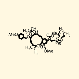 C=CCOP(=O)(OCC=C)OCCN(C(=O)OC(C)(C)C)c1cc2c(c(OCOC)c1)C(=O)O[C@@H](C)[C@H](C)/C=C\[C@@H](OCc1ccc(OC)cc1)[C@H]1OC(C)(C)O[C@H]1C/C=C/2